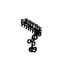 O=C(OCC12CC3CC(CC(C3)C1)C2)N1CCN(S(=O)(=O)C(F)(F)C(F)(F)C(F)(F)C(F)(F)C(F)(F)C(F)(F)C(F)(F)C(F)(F)F)CC1